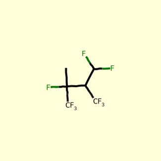 CC(F)(C(C(F)F)C(F)(F)F)C(F)(F)F